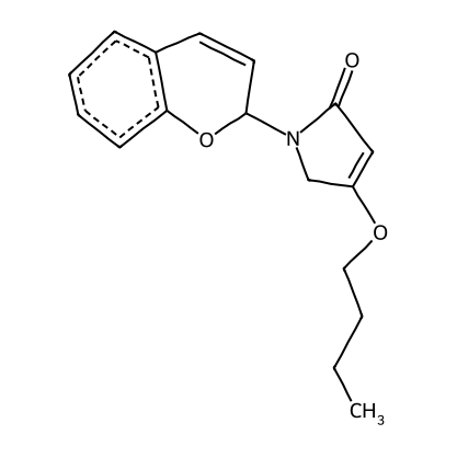 CCCCOC1=CC(=O)N(C2C=Cc3ccccc3O2)C1